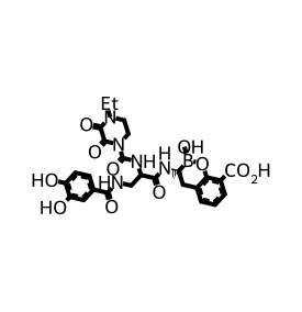 CCN1CCN(C(=O)NC(CNC(=O)c2ccc(O)c(O)c2)C(=O)N[C@H]2Cc3cccc(C(=O)O)c3OB2O)C(=O)C1=O